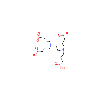 O=C(O)CCCN(CCCC(=O)O)CCN(CCCC(=O)O)CCCC(=O)O